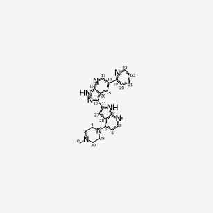 CN1CCN(c2ccnc3[nH]c(-c4n[nH]c5ncc(-c6ccccn6)cc45)cc23)CC1